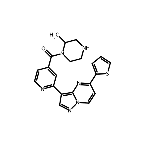 CC1CNCCN1C(=O)c1ccnc(-c2cnn3ccc(-c4cccs4)nc23)c1